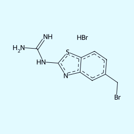 Br.N=C(N)Nc1nc2cc(CBr)ccc2s1